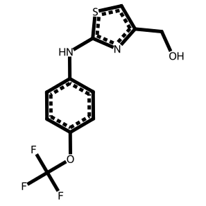 OCc1csc(Nc2ccc(OC(F)(F)F)cc2)n1